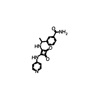 CC(Nc1c(Nc2ccncc2)c(=O)c1=O)c1cccc(C(N)=O)c1